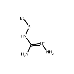 CCSNC(N)=[O+]N